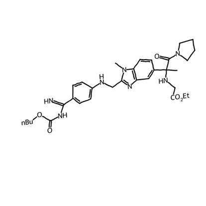 CCCCOC(=O)NC(=N)c1ccc(NCc2nc3cc(C(C)(NCC(=O)OCC)C(=O)N4CCCC4)ccc3n2C)cc1